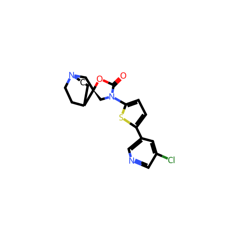 O=C1O[C@]2(CN3CCC2CC3)CN1c1ccc(-c2cncc(Cl)c2)s1